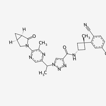 Cc1nc(C(C)n2cc(C(=O)N[C@H]3C[C@@](C)(c4cc(Cl)ccc4C#N)C3)nn2)cnc1N1C[C@H]2C[C@H]2C1=O